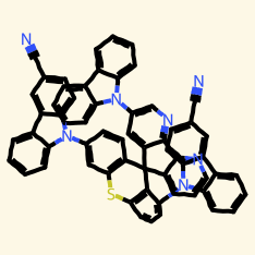 N#Cc1ccc2c(c1)c1ccccc1n2-c1ccc2c(c1)Sc1cccc(-n3c4ccccc4c4cc(C#N)ccc43)c1C21c2cccnc2-c2ncc(-n3c4ccccc4c4ccccc43)cc21